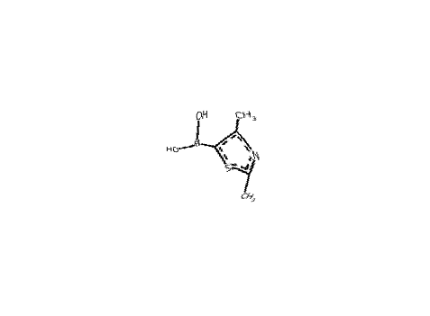 Cc1nc(C)c(B(O)O)s1